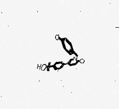 CC(C)(O)c1ccc(-c2ccc(=O)n(Cc3ccc(Cl)cc3)c2)cc1